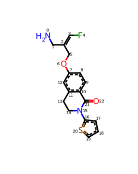 NC/C(=C/F)COc1ccc2c(c1)CCN(c1cccs1)C2=O